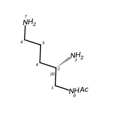 CC(=O)NC[C@@H](N)CCCN